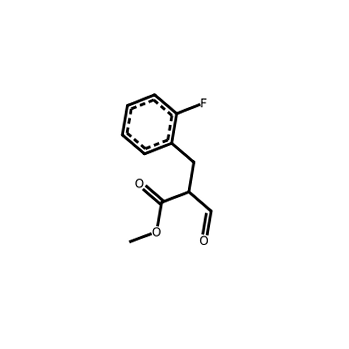 COC(=O)C(C=O)Cc1ccccc1F